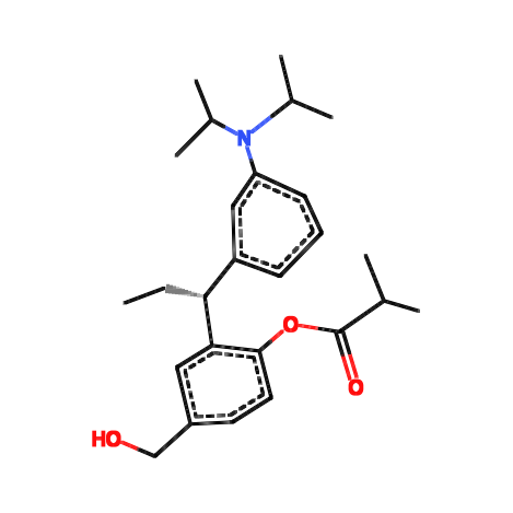 CC[C@H](c1cccc(N(C(C)C)C(C)C)c1)c1cc(CO)ccc1OC(=O)C(C)C